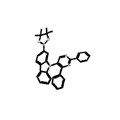 CC1(C)OB(c2ccc3c4ccccc4n(-c4cnc(-c5ccccc5)nc4-c4ccccc4)c3c2)OC1(C)C